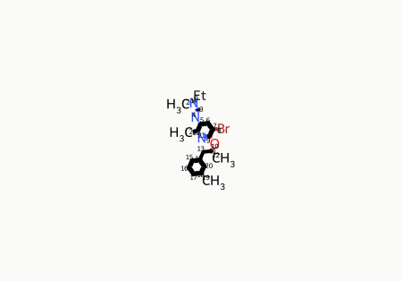 CCN(C)/C=N/c1cc(Br)c(OC(C)Cc2cccc(C)c2)nc1C